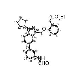 CCOC(=O)Cc1ccccc1OCc1nn(C2CCCC2)c2ccc(-c3cccc(NC=O)c3)cc12